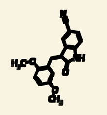 COc1ccc(OC)c(C=C2C(=O)Nc3ccc(C#N)cc32)c1